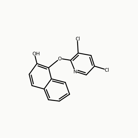 Oc1ccc2ccccc2c1Oc1ncc(Cl)cc1Cl